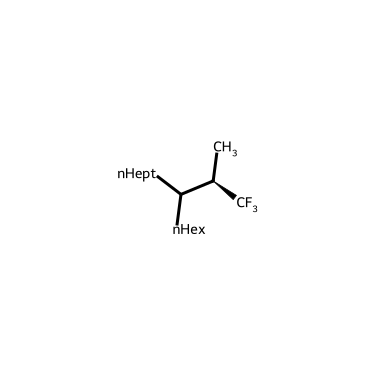 CCCCCCCC(CCCCCC)[C@@H](C)C(F)(F)F